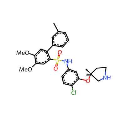 COc1cc(-c2cccc(C)c2)c(S(=O)(=O)Nc2ccc(Cl)c(O[C@]3(C)CCNC3)c2)cc1OC